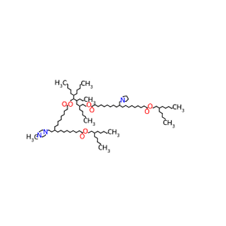 CCCCCC(CCCCC)CCOC(=O)CCCCCCCCC(CCCCCCCCC(=O)OCC(C(CCCCC)CCCCC)C(CCC)CC(CCCCC)CCOC(=O)CCCCCCCCC(CCCCCCCCC(=O)OCCC(CCCCC)CCCCC)CN1CCCC1)CCN1CCN(C)CC1